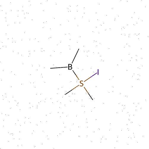 CB(C)S(C)(C)I